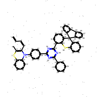 C=C/C=C\C1=C(C)Sc2ccccc2N1c1ccc(-c2nc(-c3ccccc3)nc(-c3cccc4c3Sc3ccccc3C43c4ccccc4-c4ccccc43)n2)cc1